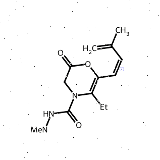 C=C(C)/C=C\C1=C(CC)N(C(=O)NNC)CC(=O)O1